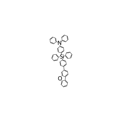 c1ccc(N(c2ccccc2)c2ccc([Si](c3ccccc3)(c3ccccc3)c3ccc(-c4ccc5c(c4)oc4ccccc45)cc3)cc2)cc1